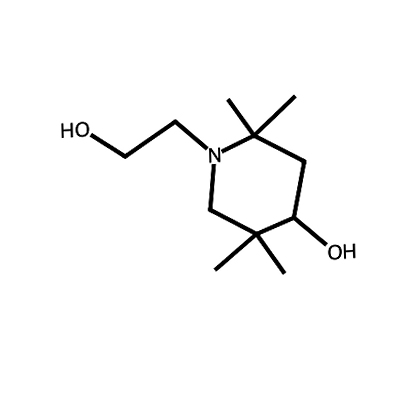 CC1(C)CN(CCO)C(C)(C)CC1O